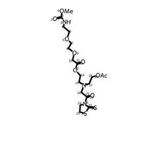 COC(=O)NCCOCCOCC(=O)OCCN(CCOC(C)=O)CC(=O)N1CCSC1=S